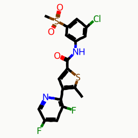 Cc1sc(C(=O)Nc2cc(Cl)cc(S(C)(=O)=O)c2)cc1-c1ncc(F)cc1F